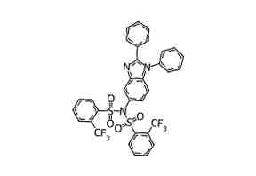 O=S(=O)(c1ccccc1C(F)(F)F)N(c1ccc2c(c1)nc(-c1ccccc1)n2-c1ccccc1)S(=O)(=O)c1ccccc1C(F)(F)F